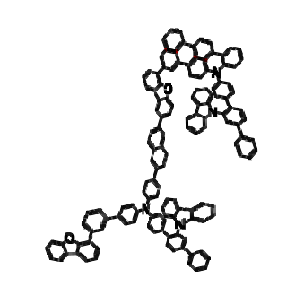 c1ccc(-c2ccc(-c3ccccc3N(c3ccc(-c4cccc(-c5cccc6c5oc5ccc(-c7ccc8cc(-c9ccc(N(c%10ccc(-c%11cccc(-c%12cccc%13c%12oc%12ccccc%12%13)c%11)cc%10)c%10ccc(-c%11ccc(-c%12ccccc%12)cc%11-n%11c%12ccccc%12c%12ccccc%12%11)cc%10)cc9)ccc8c7)cc56)c4)cc3)c3ccc(-c4ccc(-c5ccccc5)cc4-n4c5ccccc5c5ccccc54)cc3)cc2)cc1